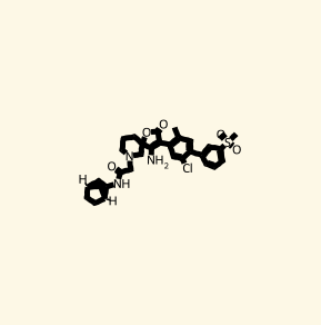 Cc1cc(-c2cccc(S(C)(=O)=O)c2)c(Cl)cc1C1=C(N)C2(CCCN(CC(=O)NC3C[C@@H]4CC[C@H]3C4)C2)OC1=O